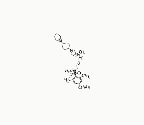 COc1cc(C)c(S(=O)(=O)N(C)CCOCC(=O)N(C)[C@@H]2CCN([C@H]3CC[C@@H](N4CCCC4)CC3)C2)c(C)c1